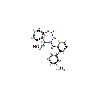 Cc1cccc(-c2ccccc2CN2CCOc3ccccc3C2C(=O)O)c1